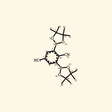 CC1(C)OB(c2cc(C#N)cc(B3OC(C)(C)C(C)(C)O3)c2C#N)OC1(C)C